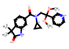 COC(CN(C(=O)c1ccc2c(c1)NC(=O)C2(C)C)C1CC1)(OC)c1cccnc1